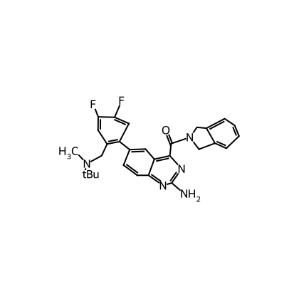 CN(Cc1cc(F)c(F)cc1-c1ccc2nc(N)nc(C(=O)N3Cc4ccccc4C3)c2c1)C(C)(C)C